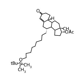 CC(=O)O[C@H]1CCC2C3C(CC[C@@]21C)[C@H]1CCC(=O)C=C1C[C@H]3CCCCCCCCCO[Si](C)(C)C(C)(C)C